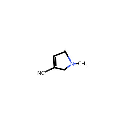 CN1[C]C=C(C#N)C1